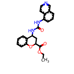 CCOC(=O)C1CC(NC(=O)Nc2cccc3cnccc23)c2ccccc2O1